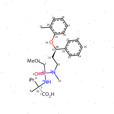 COCP(=O)(N[C@](C)(C(=O)O)C(C)C)N(C)CC[C@@H](Oc1ccccc1C)c1ccccc1